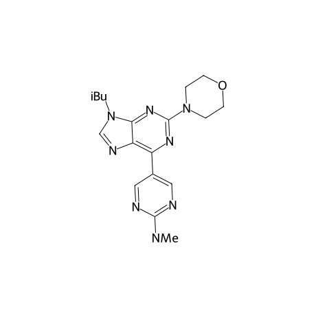 CCC(C)n1cnc2c(-c3cnc(NC)nc3)nc(N3CCOCC3)nc21